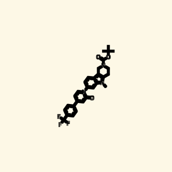 Cn1c2c(c3ccc(-n4ccc(-c5ccc(C(F)(F)F)cc5)cc4=O)cc31)CN(C(=O)OC(C)(C)C)CC2